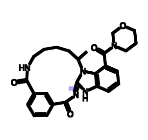 CC1CCCCNC(=O)c2cccc(c2)C(=O)/N=C2\Nc3cccc(C(=O)N4CCCOC4)c3N21